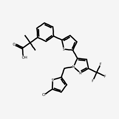 CC(C)(C(=O)O)c1cccc(-c2ccc(-c3cc(C(F)(F)F)nn3Cc3ccc(Cl)s3)s2)c1